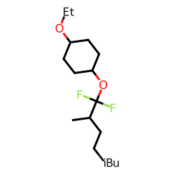 CCOC1CCC(OC(F)(F)C(C)CCC(C)CC)CC1